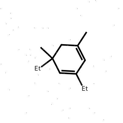 CCC1=CC(C)(CC)CC(C)=C1